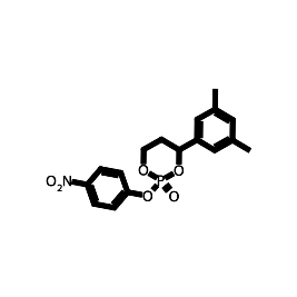 Cc1cc(C)cc(C2CCOP(=O)(Oc3ccc([N+](=O)[O-])cc3)O2)c1